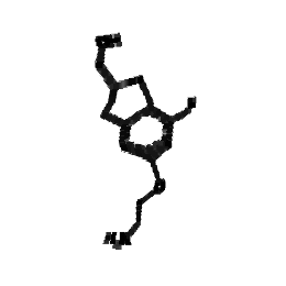 NCCOc1cc(F)c2c(c1)CC(CO)C2